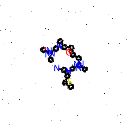 N#Cc1ccc2c(c1)c1cc(-c3cccc4c3sc3ccccc34)ccc1n2-c1ccc(-c2nc(-c3ccccc3)nc(-c3cccc(-c4ccc5oc6c(-c7ccc8c(c7)c7ccccc7n8-c7ccc(-c8nc(-c9ccccc9)nc(-c9ccccc9)n8)cc7)cccc6c5c4)c3)n2)cc1